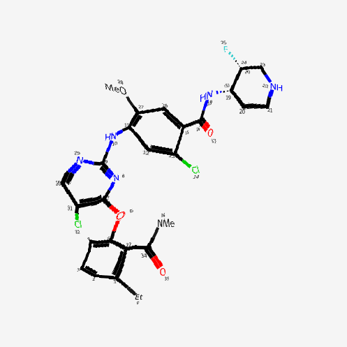 CCc1cccc(Oc2nc(Nc3cc(Cl)c(C(=O)N[C@H]4CCNC[C@H]4F)cc3OC)ncc2Cl)c1C(=O)NC